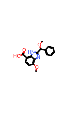 COc1ccc(C(=O)O)c2[nH]c(C(OC)c3ccccc3)nc12